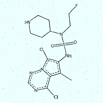 Cc1c(NS(=O)(=O)N(CCF)C2CCNCC2)c(Cl)n2ncnc(Cl)c12